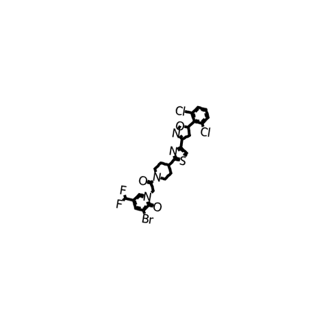 O=C(Cn1cc(C(F)F)cc(Br)c1=O)N1CCC(c2nc(C3=NOC(c4c(Cl)cccc4Cl)C3)cs2)CC1